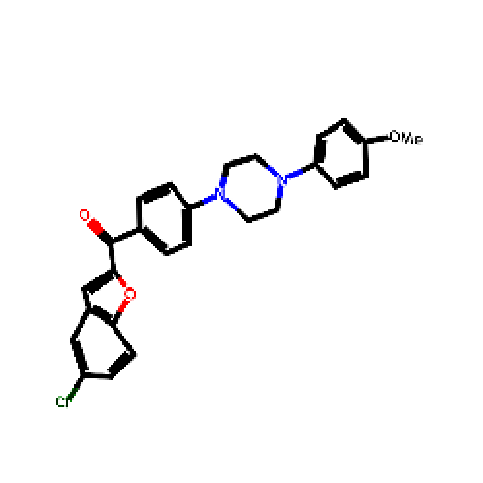 COc1ccc(N2CCN(c3ccc(C(=O)c4cc5cc(Cl)ccc5o4)cc3)CC2)cc1